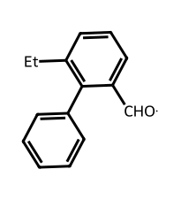 CCc1cccc([C]=O)c1-c1ccccc1